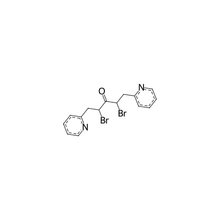 O=C(C(Br)Cc1ccccn1)C(Br)Cc1ccccn1